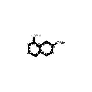 COc1c[c]c2cccc(OC)c2c1